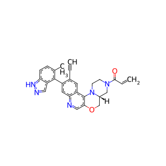 C#Cc1cc2c3c(cnc2cc1-c1c(C)ccc2[nH]ncc12)OC[C@H]1CN(C(=O)C=C)CCN31